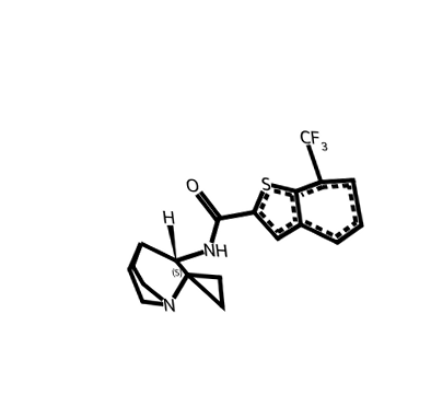 O=C(N[C@H]1C2CCN(CC2)C12CC2)c1cc2cccc(C(F)(F)F)c2s1